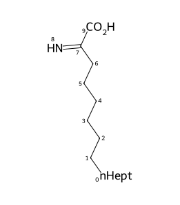 CCCCCCCCCCCCCC(=N)C(=O)O